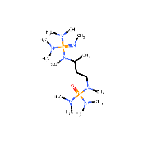 CN=P(N(C)C)(N(C)C)N(C(C)CCN(C)P(=O)(N(C)C)N(C)C)C(C)(C)C